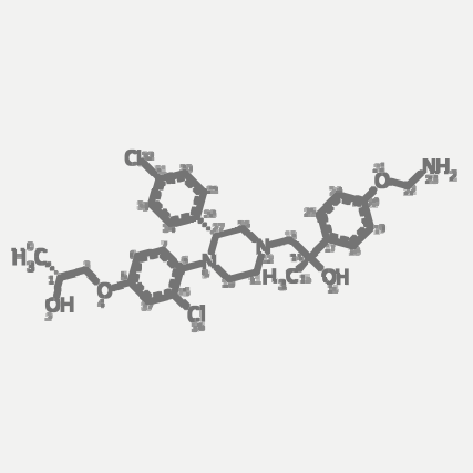 C[C@@H](O)COc1ccc(N2CCN(C[C@@](C)(O)c3ccc(OCN)cc3)C[C@H]2c2ccc(Cl)cc2)c(Cl)c1